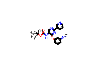 [C-]#[N+]c1cccc(Oc2nc(-c3cccnc3)ncc2NC(=O)OC(C)(C)C)c1